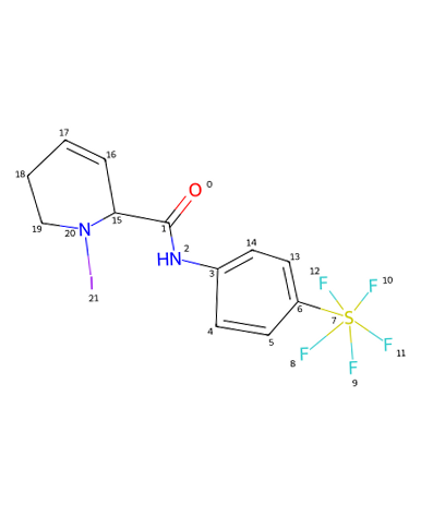 O=C(Nc1ccc(S(F)(F)(F)(F)F)cc1)C1C=CCCN1I